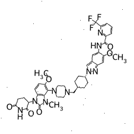 COc1cc2nn([C@H]3CC[C@H](CN4CCN(c5c(OC)ccc6c5n(C)c(=O)n6C5CCC(=O)NC5=O)CC4)CC3)cc2cc1NC(=O)c1cccc(C(F)(F)F)n1